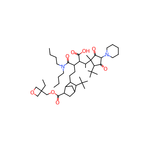 CCCCN(CCCC)C(=O)C(CCC1C2CC(CC2C(=O)OCC2(CC)COC2)C1C(C)(C)C)C(C(=O)O)C(C)C1(C)C(=O)C(N2CCCCC2)C(=O)C1C(C)(C)C